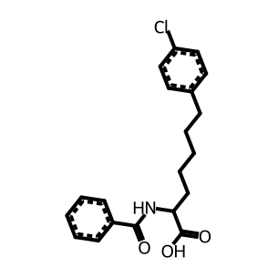 O=C(NC(CCCCCc1ccc(Cl)cc1)C(=O)O)c1ccccc1